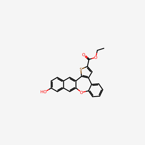 CCOC(=O)c1cc2c(s1)-c1cc3ccc(O)cc3cc1Oc1ccccc1-2